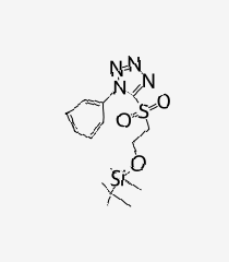 CC(C)(C)[Si](C)(C)OCCS(=O)(=O)c1nnnn1-c1ccccc1